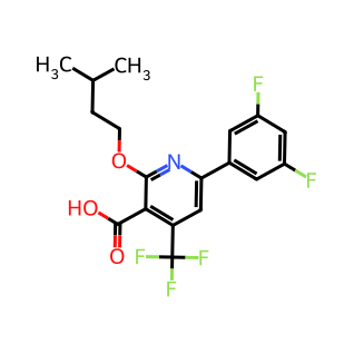 CC(C)CCOc1nc(-c2cc(F)cc(F)c2)cc(C(F)(F)F)c1C(=O)O